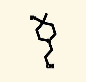 CC(C)C1(C)CCN(CCO)CC1